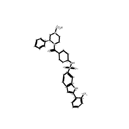 O=C(O)N1CCN(C(=O)C2CCC(NS(=O)(=O)c3ccc4cc(-c5ccccc5C(F)(F)F)[nH]c4c3)CC2)[C@@H](c2ccccc2)C1